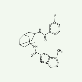 Cc1cccc2nc(C(=O)NC34CC5CC(CC(NC(=O)c6cccc(F)c6)(C5)C3)C4)cn12